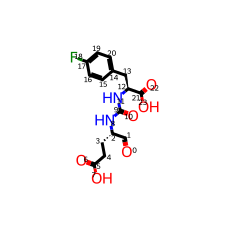 O=C[C@H](CCC(=O)O)NC(=O)N[C@@H](Cc1ccc(F)cc1)C(=O)O